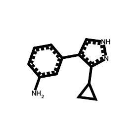 Nc1cccc(-c2c[nH]nc2C2CC2)c1